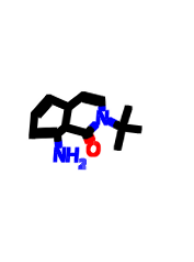 CC(C)(C)N1C=CC2C=CC=C(N)C2C1=O